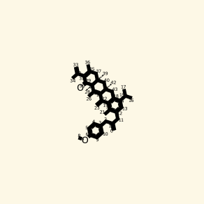 C=C(Cc1ccc(OC)cc1)Cc1cc(C(C)C)c2c(c1C)C(=C)C1=C(C)[C@@]3(C)C(=O)C(C(=C)C)=C(C)C[C@@]3(C)C[C@@]1(C)C2